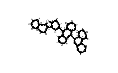 c1ccc2c(c1)cc(-c1c3ccccc3c(-c3ccc4oc5c6ccccc6ccc5c4c3)c3ccccc13)c1ccccc12